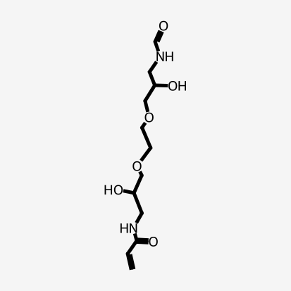 C=CC(=O)NCC(O)COCCOCC(O)CNC=O